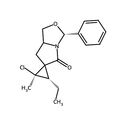 CC[C@H]1C2(CC3CO[C@H](c4ccccc4)N3C2=O)[C@]1(C)Cl